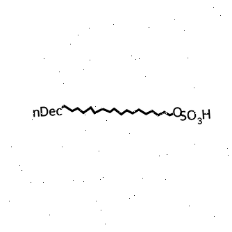 CCCCCCCCCCCCCCCCCCCCCCCCCCCCOS(=O)(=O)O